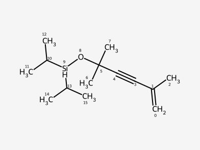 C=C(C)C#CC(C)(C)O[SiH](C(C)C)C(C)C